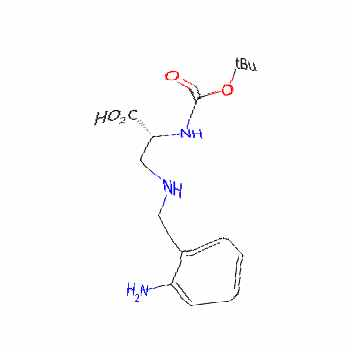 CC(C)(C)OC(=O)N[C@H](CNCc1ccccc1N)C(=O)O